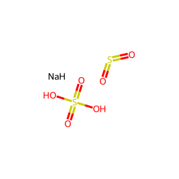 O=S(=O)(O)O.O=S=O.[NaH]